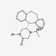 CC(=N)N1CC(=O)N(C(C)C)C[C@@H]1C1c2c#cccc2CCc2ccccc21